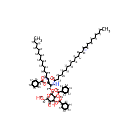 CCCCCCCC/C=C/CCCCCCCCCCCCCC(=O)N[C@@H](CO[C@H]1O[C@H](CO)[C@H](O)[C@H](OC(=O)c2ccccc2)[C@H]1OC(=O)c1ccccc1)[C@@H](/C=C/CCCCCCCCCCCCC)OC(=O)c1ccccc1